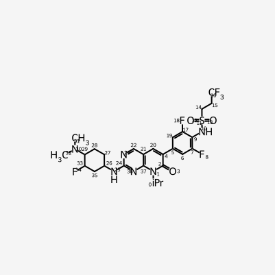 CC(C)n1c(=O)c(-c2cc(F)c(NS(=O)(=O)CCC(F)(F)F)c(F)c2)cc2cnc(NC3CCC(N(C)C)C(F)C3)nc21